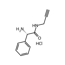 C#CCNC(=O)[C@@H](N)c1ccccc1.Cl